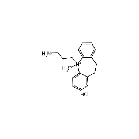 C[N+]1(CCCN)c2ccccc2CCc2ccccc21.Cl